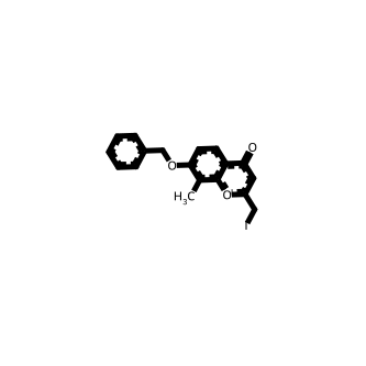 Cc1c(OCc2ccccc2)ccc2c(=O)cc(CI)oc12